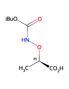 CC(C)COC(=O)NO[C@H](C)C(=O)O